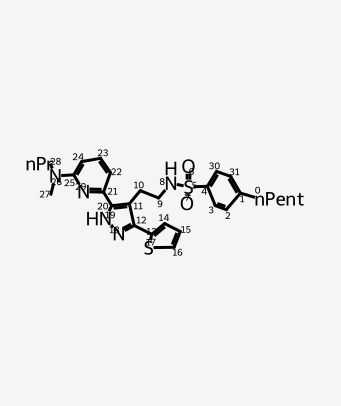 CCCCCc1ccc(S(=O)(=O)NCCc2c(-c3cccs3)n[nH]c2-c2cccc(N(C)CCC)n2)cc1